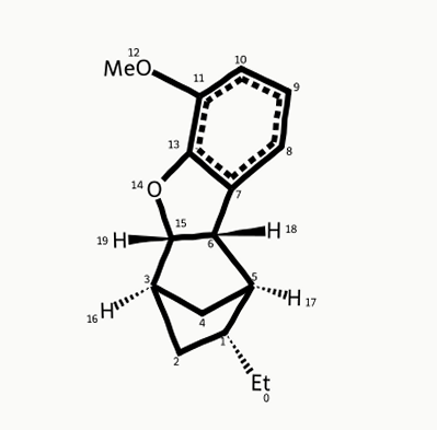 CC[C@@H]1C[C@@H]2C[C@H]1[C@H]1c3cccc(OC)c3O[C@@H]21